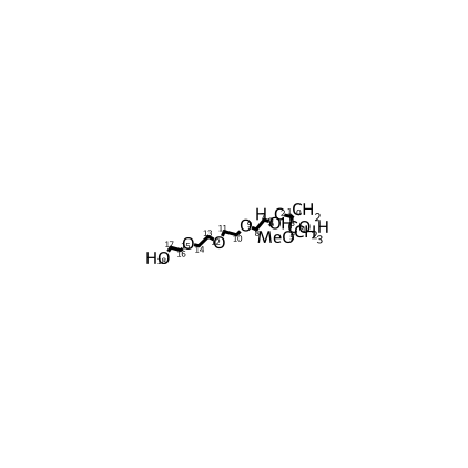 C=C(C)C(=O)O.COC.OCCOCCOCCOCCO